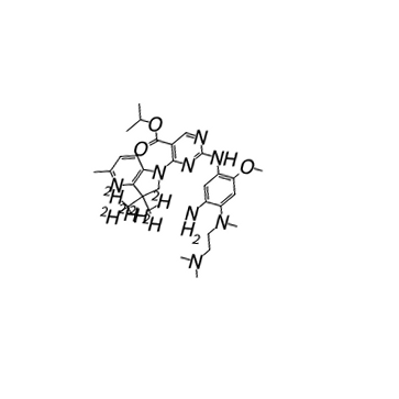 [2H]C([2H])([2H])C1(C([2H])([2H])[2H])CN(c2nc(Nc3cc(N)c(N(C)CCN(C)C)cc3OC)ncc2C(=O)OC(C)C)c2ccc(C)nc21